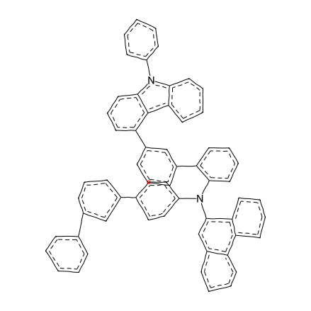 c1ccc(-c2cccc(-c3ccc(N(c4ccccc4-c4cccc(-c5cccc6c5c5ccccc5n6-c5ccccc5)c4)c4cc5ccccc5c5ccccc45)cc3)c2)cc1